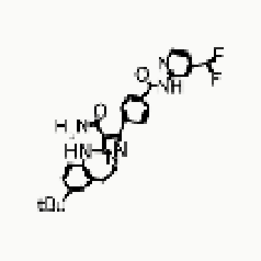 CC(C)(C)c1ccc2c(c1)CCn1nc(-c3ccc(C(=O)Nc4cc(C(F)F)ccn4)cc3)c(C(N)=O)c1N2